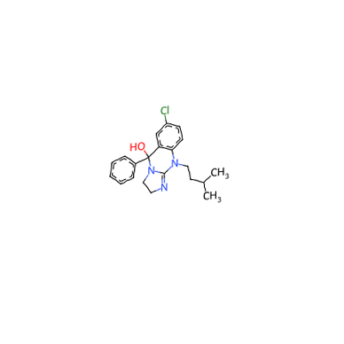 CC(C)CCN1C2=NCCN2C(O)(c2ccccc2)c2cc(Cl)ccc21